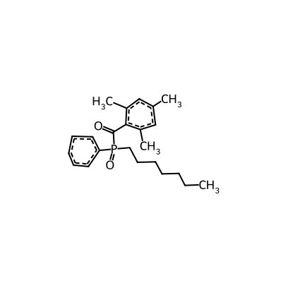 CCCCCCCP(=O)(C(=O)c1c(C)cc(C)cc1C)c1ccccc1